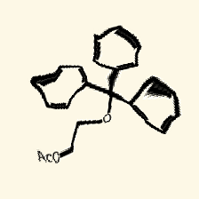 CC(=O)OCCOC(c1ccccc1)(c1ccccc1)c1ccccc1